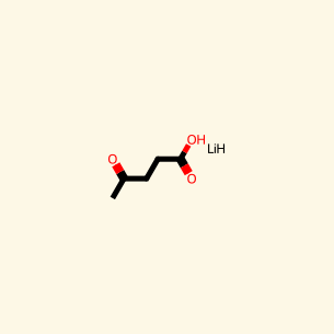 CC(=O)CCC(=O)O.[LiH]